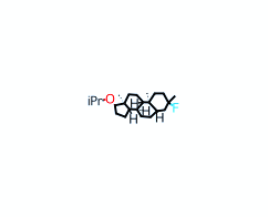 CC(C)O[C@H]1CC[C@H]2[C@@H]3CC[C@H]4CC(C)(F)CC[C@]4(C)[C@H]3CC[C@]12C